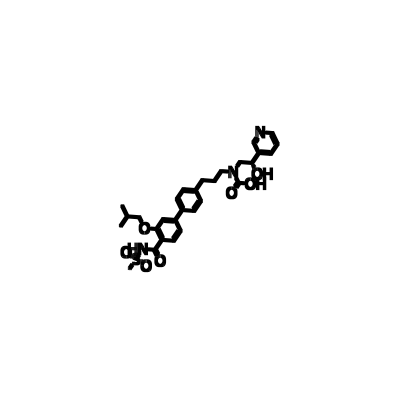 CC(C)COc1cc(-c2ccc(CCCN(C[C@H](O)c3cccnc3)C(=O)O)cc2)ccc1C(=O)NS(C)(=O)=O